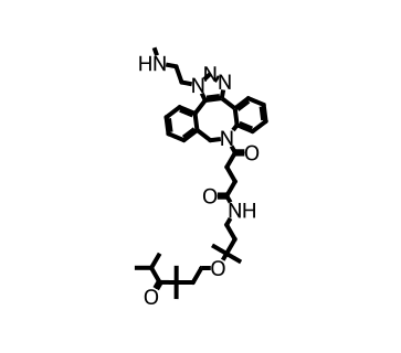 CNCCn1nnc2c1-c1ccccc1CN(C(=O)CCC(=O)NCCC(C)(C)OCCC(C)(C)C(=O)C(C)C)c1ccccc1-2